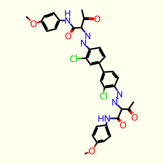 COc1ccc(NC(=O)C(/N=N/c2ccc(-c3ccc(/N=N/C(C(C)=O)C(=O)Nc4ccc(OC)cc4)c(Cl)c3)cc2Cl)C(C)=O)cc1